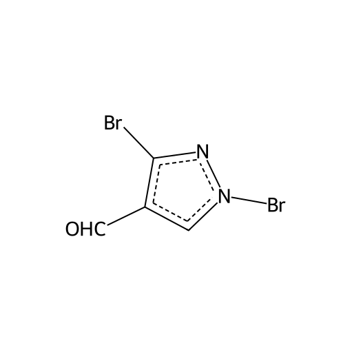 O=Cc1cn(Br)nc1Br